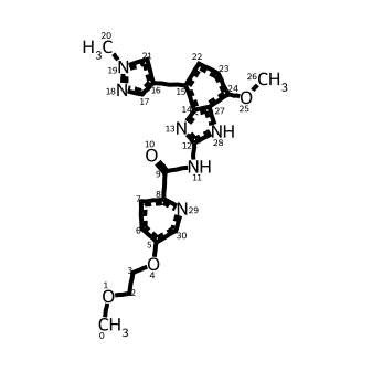 COCCOc1ccc(C(=O)Nc2nc3c(-c4cnn(C)c4)ccc(OC)c3[nH]2)nc1